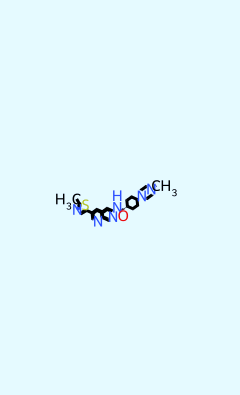 Cc1ncc(-c2cnc3cnc(NC(=O)[C@H]4CC[C@H](N5CCN(C)CC5)CC4)cc3c2)s1